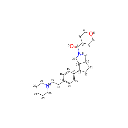 O=C(C1CCOCC1)N1CC2CCC(c3ccc(CCN4CCCCC4)cc3)C2C1